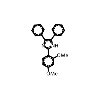 COc1ccc(-c2nc(-c3ccccc3)c(-c3ccccc3)[nH]2)c(OC)c1